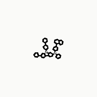 c1ccc(-c2ccc(-n3c4cc(-c5ccccc5)ccc4c4ccc(N(c5ccccc5)c5ccc(-c6cccc7ccccc67)cc5)cc43)cc2)cc1